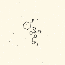 CCP(=O)(OCC(F)(F)F)OC1CCCCC1F